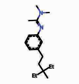 CCC(C)(CC)CCc1cccc(/N=C(\C)N(C)C)c1